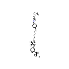 CCO/N=C/c1ccc(OCCCCCN2CCN(c3ccnc(NC)c3)S2(=O)=O)cc1